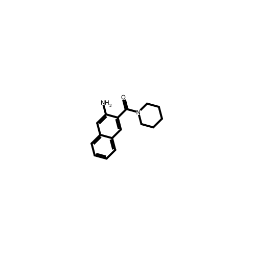 Nc1cc2ccccc2cc1C(=O)N1CCCCC1